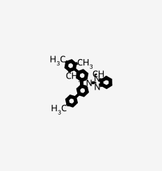 Cc1ccc(-c2ccc3c(c2)c2cc(-c4c(C)cc(C)cc4C)ccc2n3-c2nc3ccccc3n2C)cc1